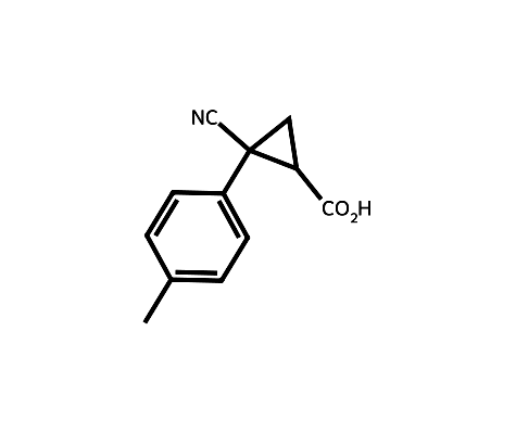 Cc1ccc(C2(C#N)CC2C(=O)O)cc1